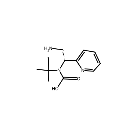 CC(C)(C)N(C(=O)O)[C@H](CN)c1ccccn1